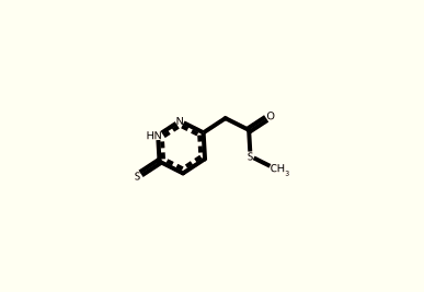 CSC(=O)Cc1ccc(=S)[nH]n1